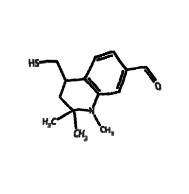 CN1c2cc(C=O)ccc2C(CS)CC1(C)C